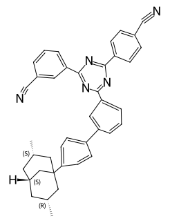 C[C@@H]1C[C@@H]2C[C@H](C)CC(c3ccc(-c4cccc(-c5nc(-c6ccc(C#N)cc6)nc(-c6cccc(C#N)c6)n5)c4)cc3)(C1)C2